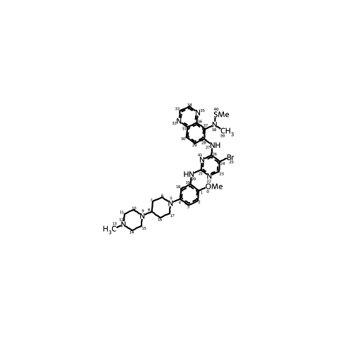 COc1ccc(N2CCC(N3CCN(C)CC3)CC2)cc1Nc1ncc(Br)c(Nc2ccc3nccnc3c2N(C)SC)n1